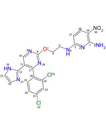 Nc1nc(NCCOc2ncc(-c3ncc[nH]3)c(-c3ccc(Cl)cc3Cl)n2)ccc1[N+](=O)[O-]